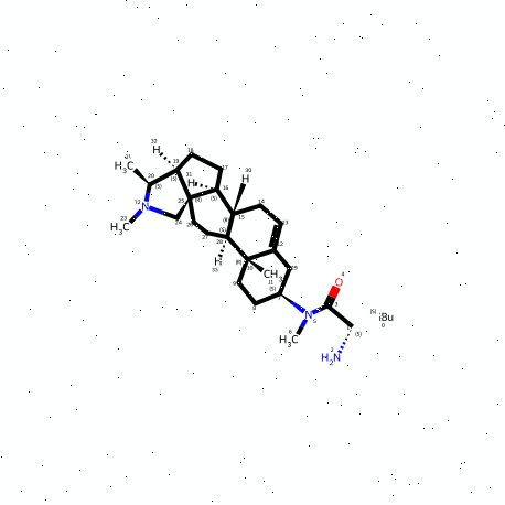 CC[C@H](C)[C@H](N)C(=O)N(C)[C@H]1CC[C@@]2(C)C(=CC[C@H]3[C@@H]4CC[C@@H]5[C@H](C)N(C)C[C@@]54CC[C@@H]32)C1